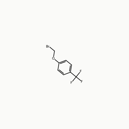 FC(F)(F)c1ccc(OCBr)cc1